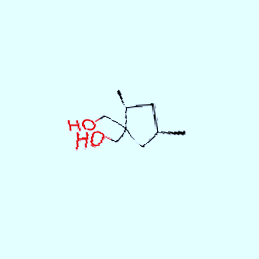 C[C@@H]1C[C@H](C)C(CO)(CO)C1